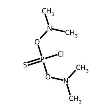 CN(C)OP(=S)(Cl)ON(C)C